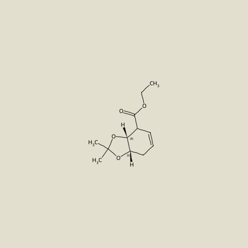 CCOC(=O)C1C=CC[C@@H]2OC(C)(C)O[C@H]12